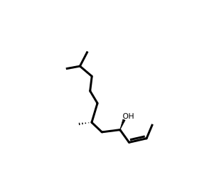 C/C=C\[C@H](O)C[C@H](C)CCCC(C)C